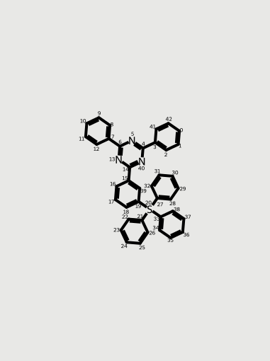 c1ccc(-c2nc(-c3ccccc3)nc(-c3cccc(S(c4ccccc4)(c4ccccc4)c4ccccc4)c3)n2)cc1